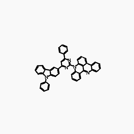 c1ccc(-c2cc(-c3ccc4c(c3)c3ccccc3n4-c3ccccc3)nc(N3c4ccccc4-c4nc5ccccc5c5cccc3c45)n2)cc1